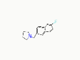 Fc1ccc2cc(CN3CCCC3)ccc2c1